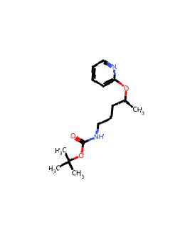 CC(CCCNC(=O)OC(C)(C)C)Oc1ccccn1